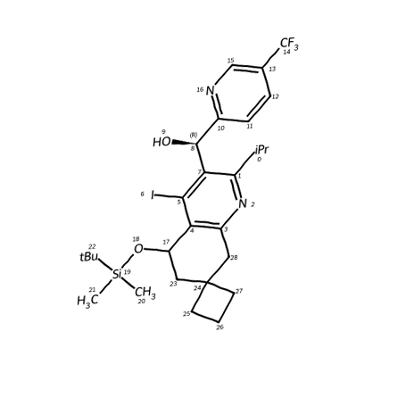 CC(C)c1nc2c(c(I)c1[C@@H](O)c1ccc(C(F)(F)F)cn1)C(O[Si](C)(C)C(C)(C)C)CC1(CCC1)C2